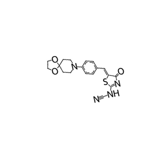 N#CNC1=NC(=O)C(=Cc2ccc(N3CCC4(CC3)OCCO4)cc2)S1